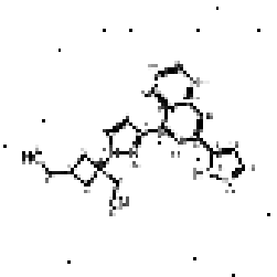 N#CC[C@H]1C[C@](CC#N)(n2ccc(-c3nc(-c4ccn[nH]4)cc4ncccc34)n2)C1